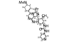 CNC1CC=C(c2cnc(N)c3c(-c4ccc(NC(=O)Nc5cccnc5)cc4C)nc(C(C)C)n23)CC1